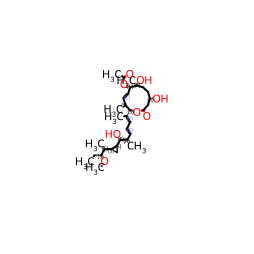 CC[C@H](OC)[C@@H](C)[C@@H]1C[C@@H]1[C@@H](O)[C@H](C)/C=C/C=C(\C)[C@H]1OC(=O)C[C@H](O)CC[C@@](C)(O)[C@@H](OC(C)=O)/C=C/[C@@H]1C